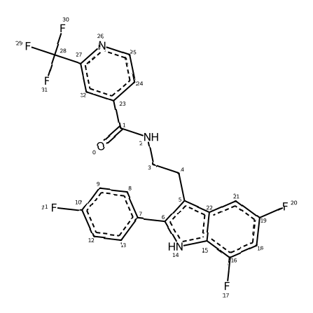 O=C(NCCc1c(-c2ccc(F)cc2)[nH]c2c(F)cc(F)cc12)c1ccnc(C(F)(F)F)c1